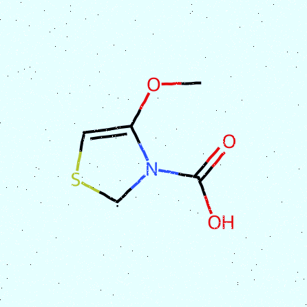 COC1=CS[CH]N1C(=O)O